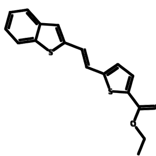 CCOC(=O)c1ccc(C=Cc2cc3ccccc3s2)s1